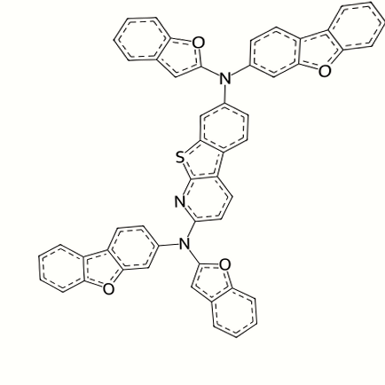 c1ccc2oc(N(c3ccc4c(c3)oc3ccccc34)c3ccc4c(c3)sc3nc(N(c5ccc6c(c5)oc5ccccc56)c5cc6ccccc6o5)ccc34)cc2c1